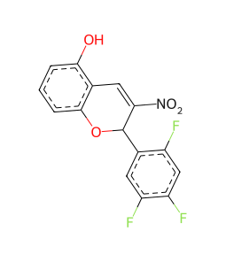 O=[N+]([O-])C1=Cc2c(O)cccc2OC1c1cc(F)c(F)cc1F